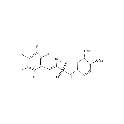 COc1ccc(NS(=O)(=O)/C(=C/c2c(F)c(F)c(F)c(F)c2F)[N+](=O)[O-])cc1OC